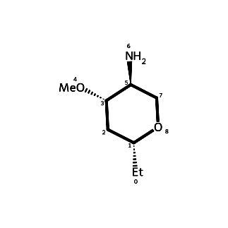 CC[C@@H]1C[C@H](OC)[C@@H](N)CO1